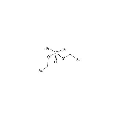 CC[CH2][Ti](=[O])([CH2]CC)([O]CC(C)=O)[O]CC(C)=O